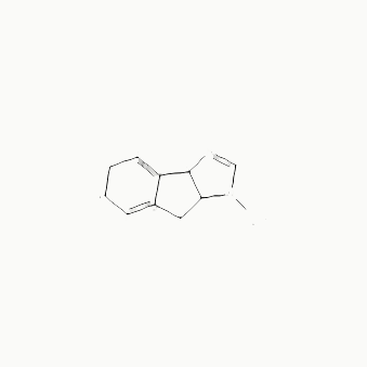 CN1C=NC2C3=CCCC=C3CC21